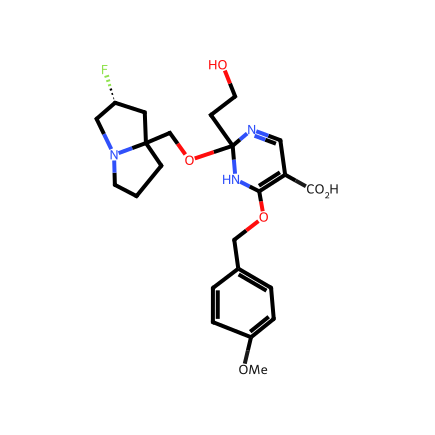 COc1ccc(COC2=C(C(=O)O)C=NC(CCO)(OCC34CCCN3C[C@H](F)C4)N2)cc1